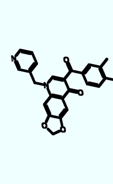 Cc1ccc(C(=O)c2cn(Cc3cccnc3)c3cc4c(cc3c2=O)OCO4)cc1C